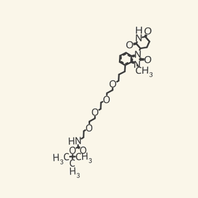 Cn1c(=O)n(C2CCC(=O)NC2=O)c2cccc(CCCOCCOCCOCCOCCNC(=O)OC(C)(C)C)c21